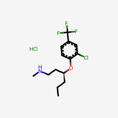 CCC[C@@H](CCNC)Oc1ccc(C(F)(F)F)cc1Cl.Cl